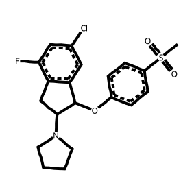 CS(=O)(=O)c1ccc(OC2c3cc(Cl)cc(F)c3CC2N2CCCC2)cc1